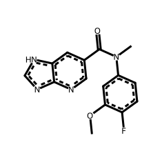 COc1cc(N(C)C(=O)c2cnc3nc[nH]c3c2)ccc1F